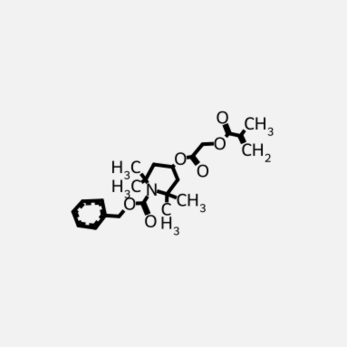 C=C(C)C(=O)OCC(=O)OC1CC(C)(C)N(C(=O)OCc2ccccc2)C(C)(C)C1